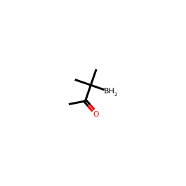 BC(C)(C)C(C)=O